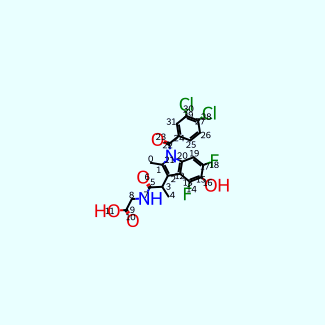 Cc1c(C(C)C(=O)NCC(=O)O)c2c(F)c(O)c(F)cc2n1C(=O)c1ccc(Cl)c(Cl)c1